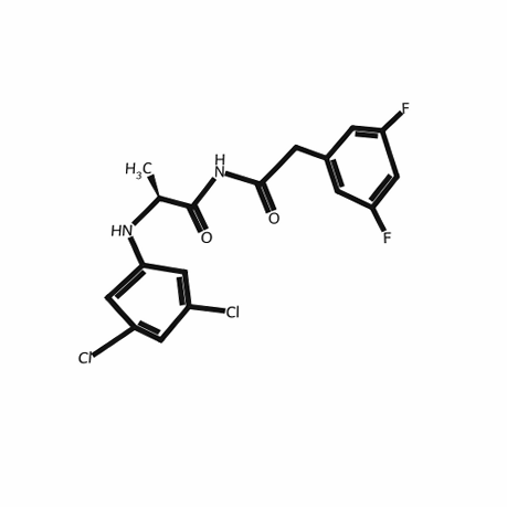 C[C@H](Nc1cc(Cl)cc(Cl)c1)C(=O)NC(=O)Cc1cc(F)cc(F)c1